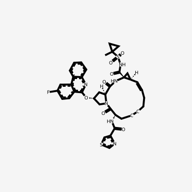 CC1(S(=O)(=O)NC(=O)[C@@]23C[C@H]2/C=C\CCCCC[C@H](NC(=O)c2cscn2)C(=O)N2C[C@H](Oc4nc5ccccc5c5cc(F)ccc45)C[C@H]2C(=O)N3)CC1